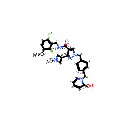 COc1ccc(F)c(CNC(=O)c2cn(Cc3ccc(CN4C=CC=CC4O)cc3)nc2C2CN(C(C)=O)C2)c1F